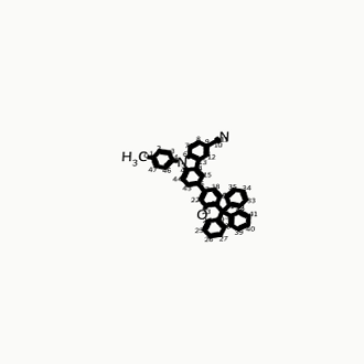 Cc1ccc(-n2c3ccc(C#N)cc3c3cc(-c4ccc5c(c4)Oc4ccccc4C5(c4ccccc4)c4ccccc4)ccc32)cc1